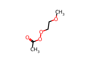 COCCOOC(C)=O